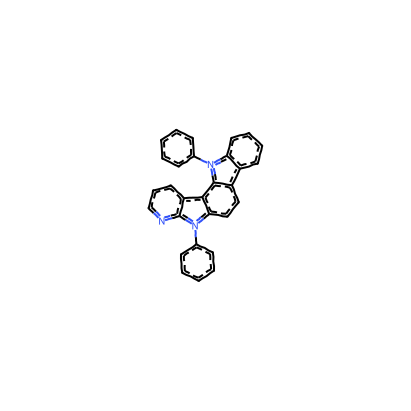 c1ccc(-n2c3ccc4c5ccccc5n(-c5ccccc5)c4c3c3cccnc32)cc1